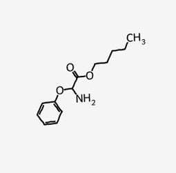 CCCCCOC(=O)C(N)Oc1ccccc1